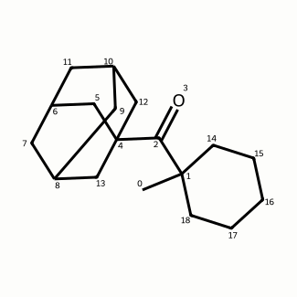 CC1(C(=O)C23CC4CC(CC(C4)C2)C3)CCCCC1